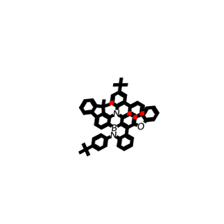 CC(C)(C)c1ccc(N2B3c4ccc5c(c4N(c4ccc(C(C)(C)C)cc4-c4ccccc4)c4cc6c(oc7ccccc76)c(c43)-c3ccccc32)C(C)(C)c2ccccc2-5)cc1